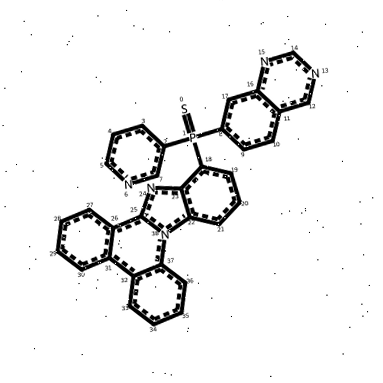 S=P(c1cccnc1)(c1ccc2cncnc2c1)c1cccc2c1nc1c3ccccc3c3ccccc3n21